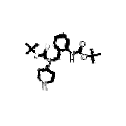 CC(C)(C)OC(=O)Nc1ccccc1CN(C(=O)OC(C)(C)C)C1CCNCC1